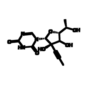 CC#C[C@@]1(O)C(O)[C@@H]([C@@H](C)O)O[C@H]1n1cnc(=O)[nH]c1=O